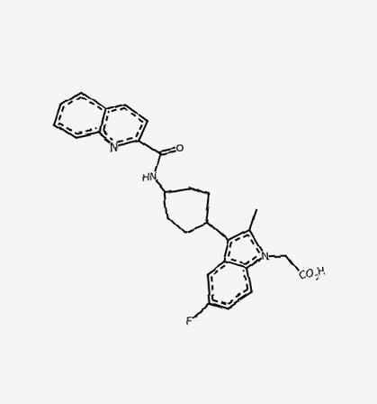 Cc1c(C2CCC(NC(=O)c3ccc4ccccc4n3)CC2)c2cc(F)ccc2n1CC(=O)O